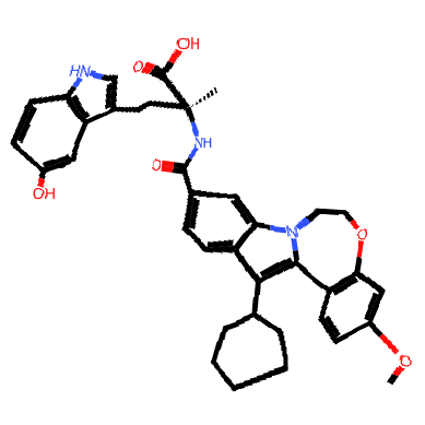 COc1ccc2c(c1)OCCn1c-2c(C2CCCCC2)c2ccc(C(=O)N[C@@](C)(Cc3c[nH]c4ccc(O)cc34)C(=O)O)cc21